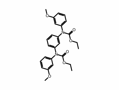 CCOC(=O)N(c1cccc(OC)c1)c1cccc(N(C(=O)OCC)c2cccc(OC)c2)c1